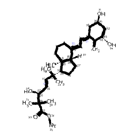 C=C1/C(=C\C=C2/CCC[C@]3(C)[C@@H](C(C)(C)/C=C/[C@H](O)C(C)(C)C(=O)OCCC)CC[C@@H]23)C[C@@H](O)C[C@@H]1O